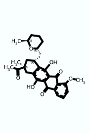 COc1cccc2c1C(=O)c1c(O)c3c(c(O)c1C2=O)C[C@@](C)(C(C)=O)C[C@@H]3C[C@H]1CCC[C@H](C)O1